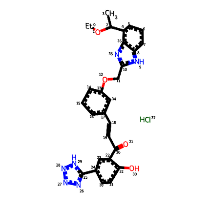 CCOC(C)c1cccc2[nH]c(COc3cccc(C=CC(=O)c4cc(-c5nnn[nH]5)ccc4O)c3)nc12.Cl